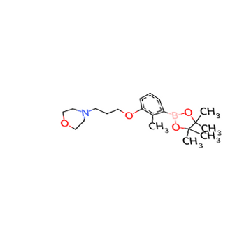 Cc1c(OCCCN2CCOCC2)cccc1B1OC(C)(C)C(C)(C)O1